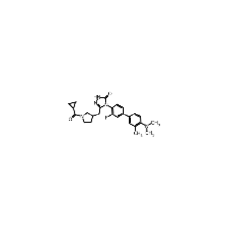 Cc1cc(-c2ccc(-n3c(CC4CCN(C(=O)C5CC5)C4)n[nH]c3=O)c(F)c2)ccc1N(C)C